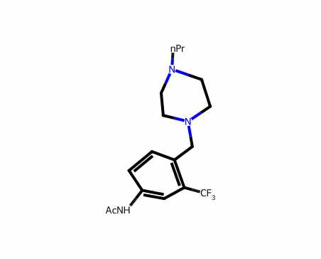 CCCN1CCN(Cc2ccc(NC(C)=O)cc2C(F)(F)F)CC1